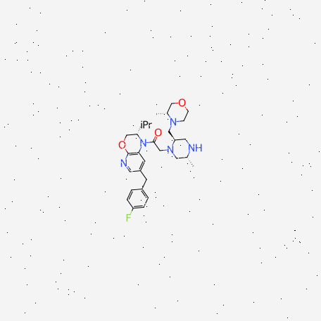 CC(C)[C@H]1COc2ncc(Cc3ccc(F)cc3)cc2N1C(=O)CN1C[C@@H](C)NC[C@@H]1CN1CCOC[C@H]1C